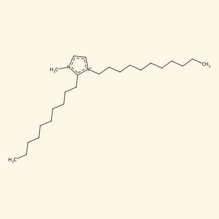 CCCCCCCCCCC[n+]1ccn(C)c1CCCCCCCCCC